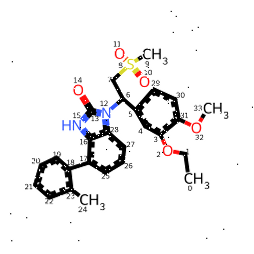 CCOc1cc(C(CS(C)(=O)=O)n2c(=O)[nH]c3c(-c4ccccc4C)cccc32)ccc1OC